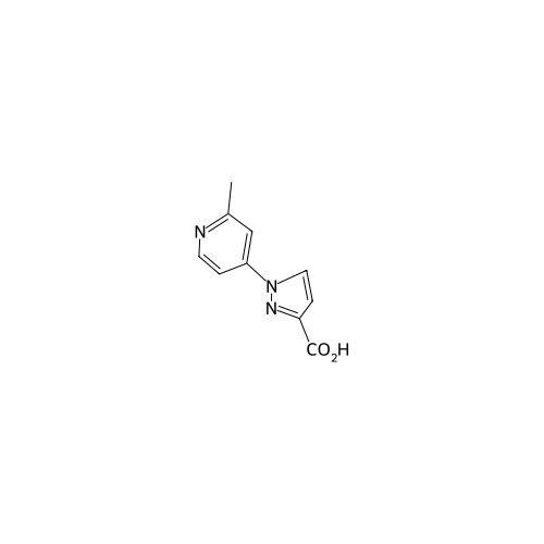 Cc1cc(-n2ccc(C(=O)O)n2)ccn1